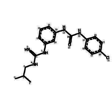 CC(C)CNC(=N)Nc1cccc(NC(=O)Nc2ccc(Cl)cc2)c1